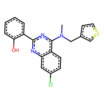 CN(Cc1ccsc1)c1nc(-c2ccccc2O)nc2cc(Cl)ccc12